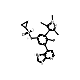 Cc1nn(C)c(C)c1-c1cc(NS(=O)(=O)C2CC2)cc(-c2ccnc3nc[nH]c23)c1F